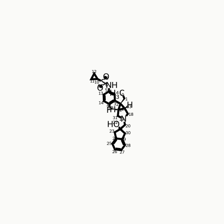 CC[C@@]1(c2cc(NS(=O)(=O)C3CC3)ccc2F)[C@@H]2CN(CC3(O)Cc4ccccc4C3)C[C@@H]21